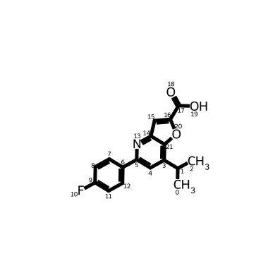 CC(C)c1cc(-c2ccc(F)cc2)nc2cc(C(=O)O)oc12